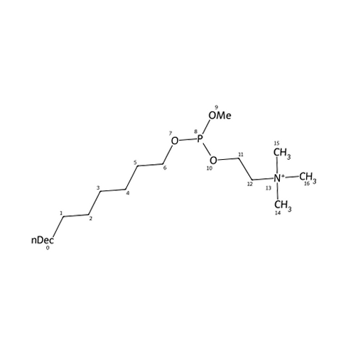 CCCCCCCCCCCCCCCCOP(OC)OCC[N+](C)(C)C